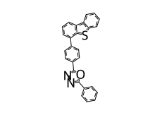 c1ccc(-c2nnc(-c3ccc(-c4cccc5c4sc4ccccc45)cc3)o2)cc1